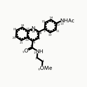 COCCNC(=O)c1cc(-c2ccc(NC(C)=O)cc2)nc2ccccc12